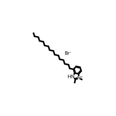 CCCCCCCCCCCCCCCCc1cccc2c1[nH]c(C)[n+]2C.[Br-]